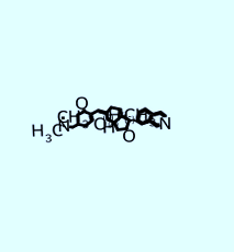 CN(C)CC1CC(=O)C2=C(C1)O[C@@H]1C(=C2)CC[C@]2(C)[C@@H](c3ccc4ccncc4c3)C(=O)C[C@@H]12